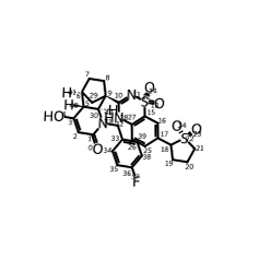 O=C1C=C(O)[C@@H]2[C@H]3CC[C@@](C4=NS(=O)(=O)c5cc(C6CCCS6(=O)=O)ccc5N4)(C3)[C@H]2N1Cc1ccc(F)cc1